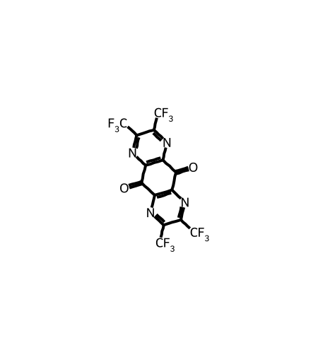 O=C1c2nc(C(F)(F)F)c(C(F)(F)F)nc2C(=O)c2nc(C(F)(F)F)c(C(F)(F)F)nc21